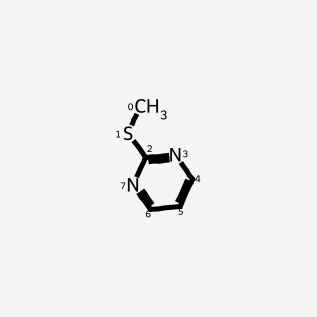 CSc1n[c]ccn1